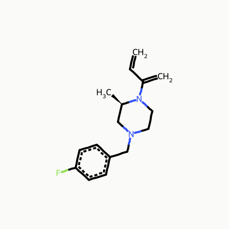 C=CC(=C)N1CCN(Cc2ccc(F)cc2)C[C@H]1C